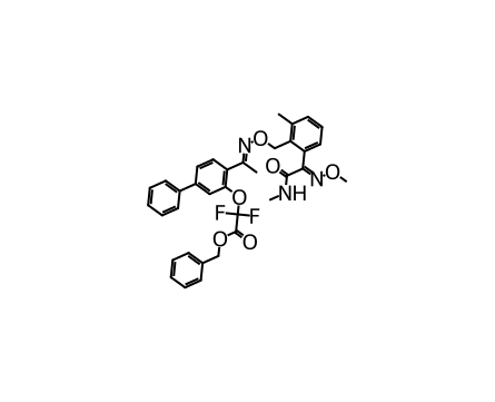 CNC(=O)/C(=N/OC)c1cccc(C)c1CO/N=C(\C)c1ccc(-c2ccccc2)cc1OC(F)(F)C(=O)OCc1ccccc1